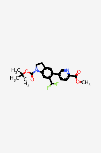 COC(=O)c1ccc(-c2cc3c(cc2C(F)F)N(C(=O)OC(C)(C)C)CC3)cn1